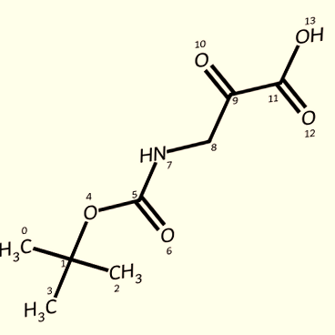 CC(C)(C)OC(=O)NCC(=O)C(=O)O